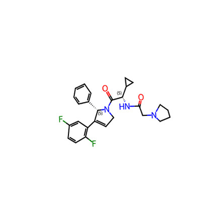 O=C(CN1CCCC1)N[C@H](C(=O)N1CC=C(c2cc(F)ccc2F)[C@@H]1c1ccccc1)C1CC1